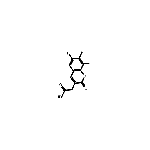 Cc1c(F)cc2cc(CC(=O)C(C)C)c(=O)oc2c1F